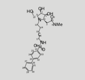 CNC(=O)C[C@@H]1[C@H](O)[C@H](O)[C@@H](CO)N1CCCCCNS(=O)(=O)c1ccc(-c2ccccc2)cc1